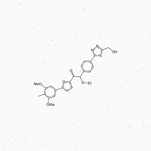 CCOC(C(=O)c1ccc(-c2cc(OC)c(C)c(OC)c2)o1)c1ccc(-c2nnc(CO)s2)cc1